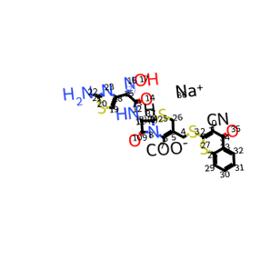 N#Cc1c(SCC2=C(C(=O)[O-])N3C(=O)[C@@H](NC(=O)/C(=N\O)c4csc(N)n4)[C@H]3SC2)sc2ccccc2c1=O.[Na+]